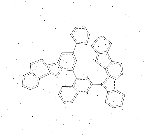 c1ccc(-c2cc(-c3nc(-n4c5ccccc5c5ccc6c7ccccc7sc6c54)nc4ccccc34)c3sc4c5ccccc5ccc4c3c2)cc1